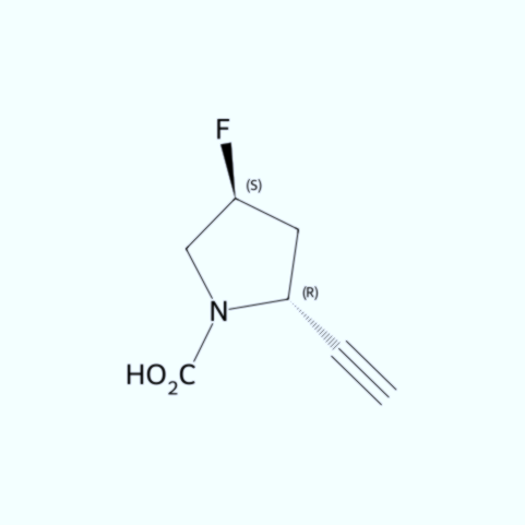 C#C[C@H]1C[C@H](F)CN1C(=O)O